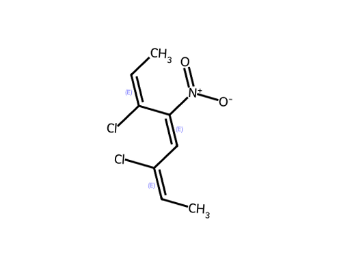 C\C=C(Cl)/C=C(\C(Cl)=C/C)[N+](=O)[O-]